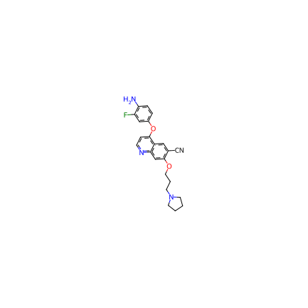 N#Cc1cc2c(Oc3ccc(N)c(F)c3)ccnc2cc1OCCCN1CCCC1